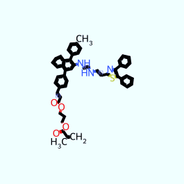 C=C(C)C(=O)OCCCOC(=O)/C=C/c1ccc(-c2cc(N/C=C/N/C=C/c3nc(-c4ccccc4)c(-c4ccccc4)s3)c(-c3ccc(C)cc3)c3ccccc23)cc1